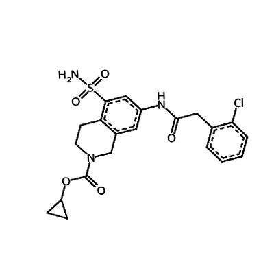 NS(=O)(=O)c1cc(NC(=O)Cc2ccccc2Cl)cc2c1CCN(C(=O)OC1CC1)C2